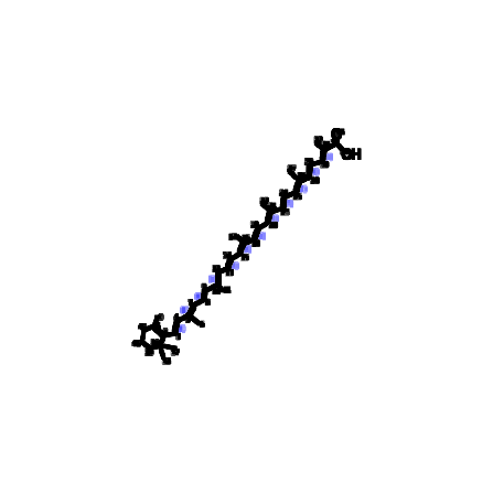 CC1=C(/C=C/C(C)=C/C=C/C(C)=C/C=C/C=C(C)/C=C/C=C(C)/C=C/C=C(C)/C=C/C=C(\C)C(=O)O)C(C)(C)CCC1